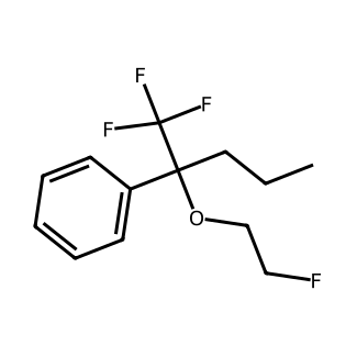 CCCC(OCCF)(c1ccccc1)C(F)(F)F